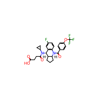 O=C(O)CCC(=O)N(C1CC1)[C@H]1c2cc(F)ccc2N(C(=O)c2ccc(OC(F)(F)F)cc2)[C@H]2CCC[C@H]21